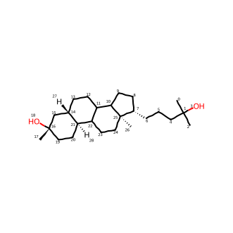 CC(C)(O)CCC[C@H]1CCC2C3CC[C@H]4C[C@@](C)(O)CC[C@@H]4C3CC[C@@]21C